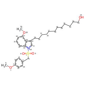 COc1ccc(CS(=O)(=O)n2cc(CCCCCCCCCCCCO)c3c(OC)cccc32)cc1